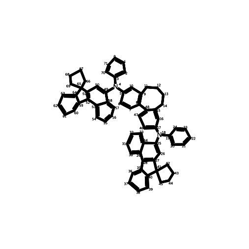 c1ccc(N(c2ccc3c(c2)CCCCc2cc(N(c4ccccc4)c4cc5c(c6ccccc46)-c4ccccc4C54CCCC4)ccc2-3)c2cc3c(c4ccccc24)-c2ccccc2C32CCCC2)cc1